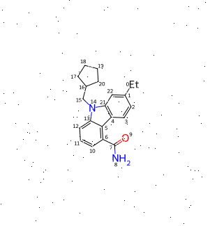 CCc1c[c]c2c3c(C(N)=O)cccc3n(CC3CCCC3)c2c1